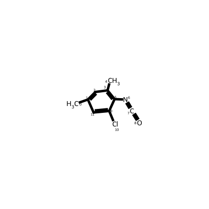 Cc1cc(C)c(N=C=O)c(Cl)c1